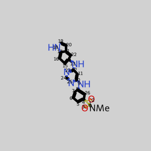 CNS(=O)(=O)c1cccc(Nc2cc(Nc3ccc4[nH]ccc4c3)ncn2)c1